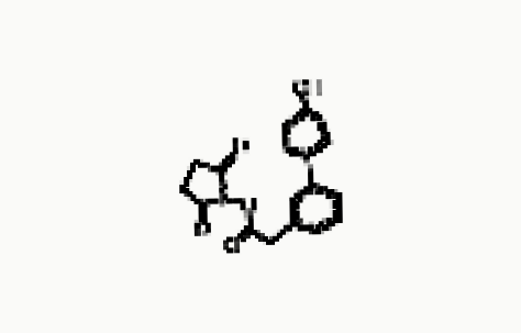 O=C(Cc1cccc(-c2ccc(O)cc2)c1)ON1C(=O)CCC1=O